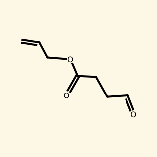 C=CCOC(=O)CCC=O